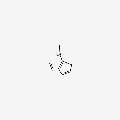 C=C.[CH3][Cu][C]1=CC=CC1